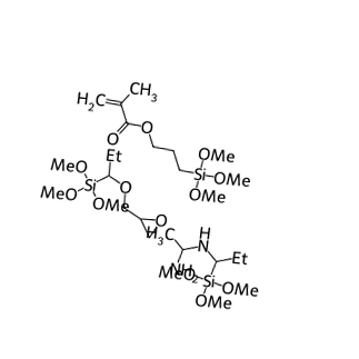 C=C(C)C(=O)OCCC[Si](OC)(OC)OC.CCC(NC(C)N)[Si](OC)(OC)OC.CCC(OCC1CO1)[Si](OC)(OC)OC